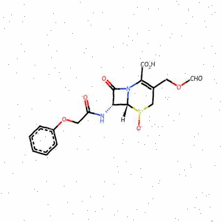 O=COCC1=C(C(=O)O)N2C(=O)[C@@H](NC(=O)COc3ccccc3)[C@H]2[S+]([O-])C1